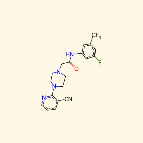 N#Cc1cccnc1N1CCN(CC(=O)Nc2cc(F)cc(C(F)(F)F)c2)CC1